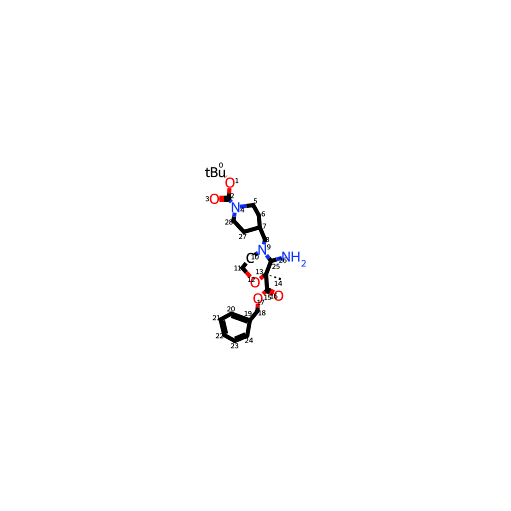 CC(C)(C)OC(=O)N1CCC(CN2CCO[C@](C)(C(=O)OCc3ccccc3)C2N)CC1